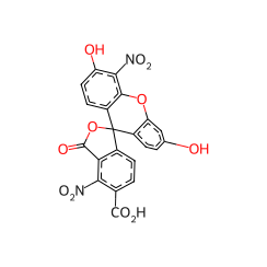 O=C(O)c1ccc2c(c1[N+](=O)[O-])C(=O)OC21c2ccc(O)cc2Oc2c1ccc(O)c2[N+](=O)[O-]